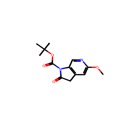 COc1cc2c(cn1)N(C(=O)OC(C)(C)C)C(=O)C2